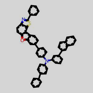 c1ccc(-c2ccc(N(c3ccc(-c4ccc5c(c4)oc4ccc6nc(-c7ccccc7)sc6c45)cc3)c3cccc(-c4ccc5ccccc5c4)c3)cc2)cc1